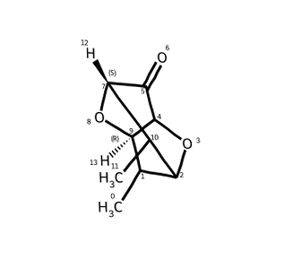 CC1C2OC3C(=O)[C@@H](O[C@@H]31)C2C